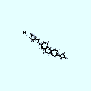 Cc1noc(COc2ccc3c(c2)CCC2(CCN(C4CCC4)CC2)O3)n1